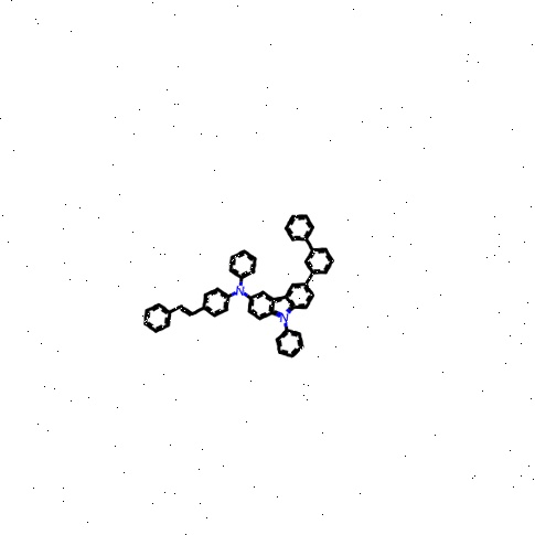 C(=C\c1ccc(N(c2ccccc2)c2ccc3c(c2)c2cc(-c4cccc(-c5ccccc5)c4)ccc2n3-c2ccccc2)cc1)/c1ccccc1